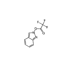 O=C(On1cc2ccccc2n1)C(F)(F)F